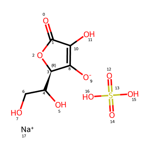 O=C1O[C@H](C(O)CO)C([O-])=C1O.O=S(=O)(O)O.[Na+]